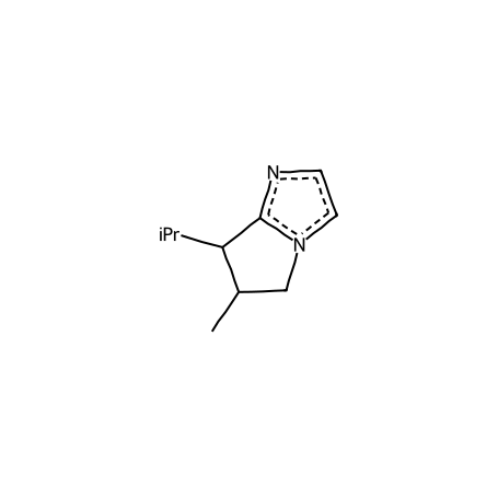 CC(C)C1c2nccn2CC1C